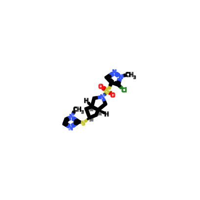 Cn1ccnc1S[C@H]1C[C@@H]2CN(S(=O)(=O)c3cnn(C)c3Cl)C[C@@H]2C1